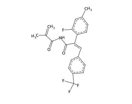 C=C(C)C(=O)NC(=O)/C(=C\c1ccc(C(F)(F)F)cc1)c1ccc(C)cc1F